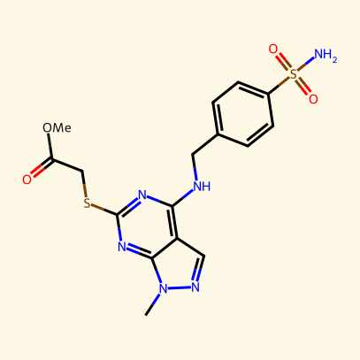 COC(=O)CSc1nc(NCc2ccc(S(N)(=O)=O)cc2)c2cnn(C)c2n1